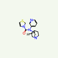 O=C(N1C=CSC1)N(c1cccnc1)[C@H]1CN2CCC1CC2